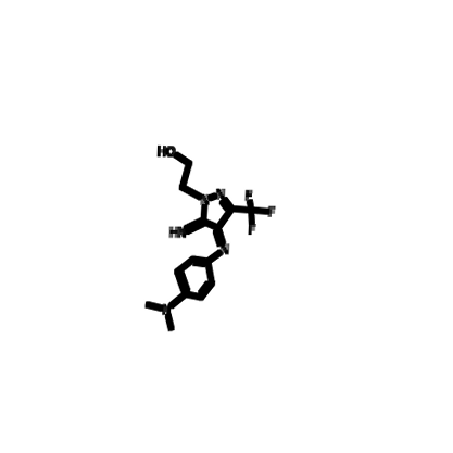 CN(C)c1ccc(N=C2C(=N)N(CCO)N=C2C(F)(F)F)cc1